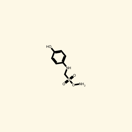 NOS(=O)(=O)CNc1ccc(O)cc1